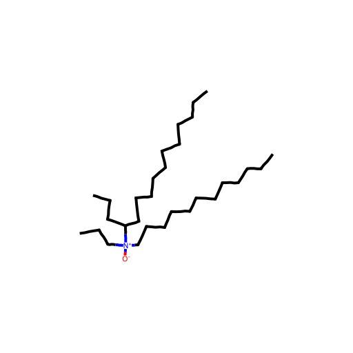 CCCCCCCCCCCC[N+]([O-])(CCC)C(CCC)CCCCCCCCCCC